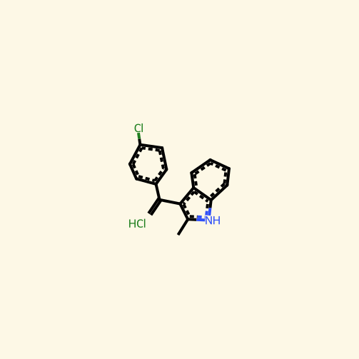 C=C(c1ccc(Cl)cc1)c1c(C)[nH]c2ccccc12.Cl